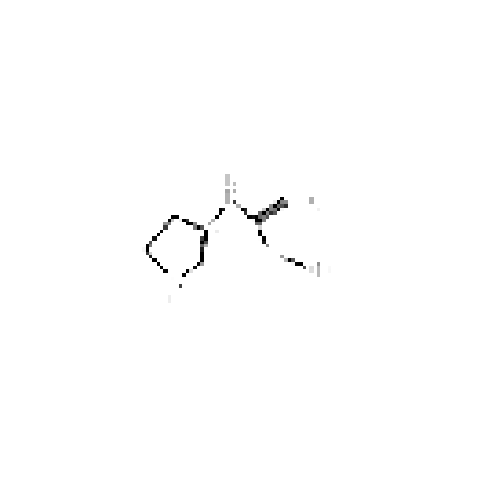 C=C(N[C@@H]1CCNC1)OC(C)(C)C